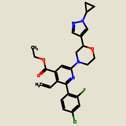 C=Cc1c(C(=O)OCC)cc(N2CCOC(c3cnn(C4CC4)c3)C2)nc1-c1ccc(Cl)cc1F